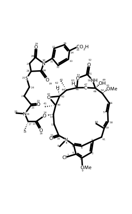 COc1cc2cc(c1Cl)N(C)C(=O)C[C@H](OC(=O)[C@H](C)N(C)C(=O)CCSC1CC(=O)N(c3ccc(C(=O)O)cc3)C1=O)[C@@]1(C)O[C@H]1[C@H](C)[C@@H]1C[C@@](O)(NC(=O)O1)[C@H](OC)/C=C/C=C(\C)C2